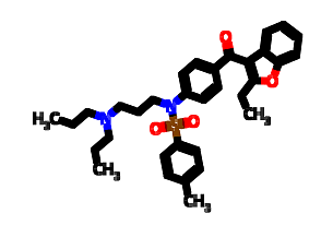 CCCN(CCC)CCCN(c1ccc(C(=O)c2c(CC)oc3ccccc23)cc1)S(=O)(=O)c1ccc(C)cc1